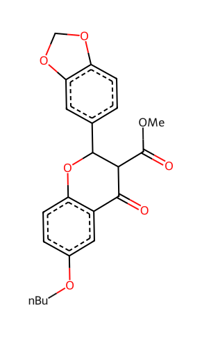 CCCCOc1ccc2c(c1)C(=O)C(C(=O)OC)C(c1ccc3c(c1)OCO3)O2